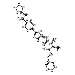 CC[C@@H](C(=N)C(=O)OCc1ccccc1)C(=O)Nc1ncc(-c2ccc(C(=O)NC3CCCC3)cc2)s1